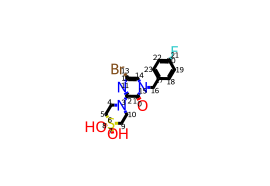 O=c1c(N2CCS(O)(O)CC2)nc(Br)cn1Cc1ccc(F)cc1